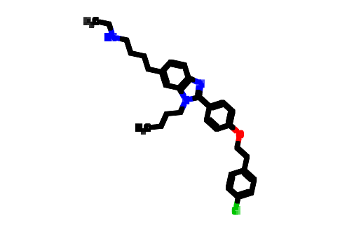 CCCCn1c(-c2ccc(OCCc3ccc(Cl)cc3)cc2)nc2ccc(CCCCNCC)cc21